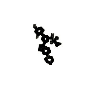 O=S(=O)(Nc1cc(-c2ccc(F)cc2F)cc(-c2cnc3cc(N4CCOCC4)ccn23)c1)C1CC1